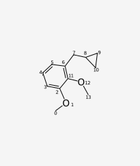 COc1c[c]cc(CC2CC2)c1OC